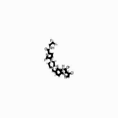 O=C(NCC(F)F)c1ccc(N2CCN(Cc3ccc4c([nH]c(=O)c5c(Cl)cnn54)c3F)CC2)c(F)n1